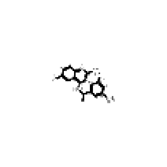 CC(Nc1nc(C(F)(F)F)nc2ccc(Br)cc12)c1cc(N)cc(C(F)(F)F)c1